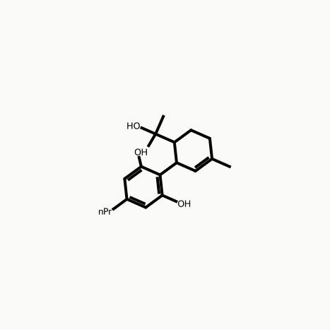 CCCc1cc(O)c(C2C=C(C)CCC2C(C)(C)O)c(O)c1